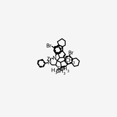 CC1=Cc2c(cc(Br)c3c2CCCC3)C1C1(C2C(C)=Cc3c2cc(Br)c2c3CCCC2)C([SiH](C)C)C[N](c2ccccc2)[Zr][N]1c1ccccc1